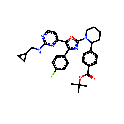 CC(C)(C)OC(=O)c1ccc(C2CCCCN2c2nc(-c3ccc(F)cc3)c(-c3ccnc(NCC4CC4)n3)o2)cc1